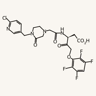 O=C(O)C[C@H](NC(=O)CN1CCN(Cc2ccc(Cl)nc2)C(=O)C1)C(=O)COc1c(F)c(F)cc(F)c1F